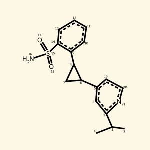 CC(C)c1cc(C2CC2c2ccccc2S(N)(=O)=O)ccn1